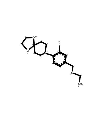 CCOCc1ccc(N2CCC3(CC2)OCCO3)c(F)c1